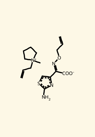 C=CCON=C(C(=O)[O-])c1csc(N)n1.C=CC[N+]1(C)CCCC1